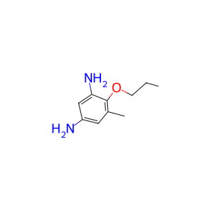 CCCOc1c(C)cc(N)cc1N